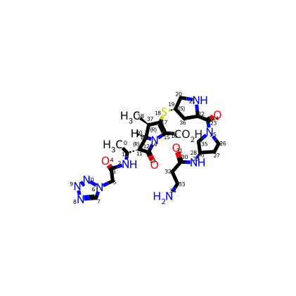 CC(NC(=O)Cn1cnnn1)[C@H]1C(=O)N2C(C(=O)O)=C(S[C@@H]3CNC(C(=O)N4CC[C@@H](NC(=O)CCN)C4)C3)[C@H](C)[C@H]12